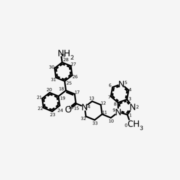 Cc1nc2cnccc2n1CC1CCN(C(=O)/C=C(\c2ccccc2)c2ccc(N)cc2)CC1